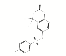 Cc1ccc(S(=O)(=O)Nc2ccc3c(c2)C(C)(C)OC(=O)N3)cc1